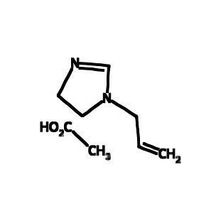 C=CCN1C=NCC1.CC(=O)O